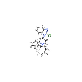 Clc1nc2ccccc2n1C1CCN(C2(c3ccccc3)CCCCCC2)CC1